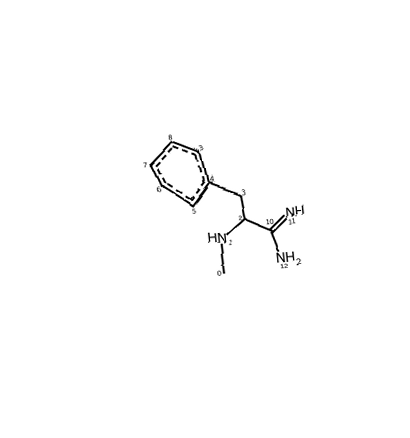 CNC(Cc1ccccc1)C(=N)N